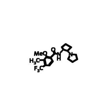 COc1c(C(=O)N[C@H]2CCC[C@H]2N2CCCC2)ccc(C(F)(F)F)c1C